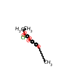 CCCCCCCCCCCCOc1ccc(-c2ccc(C(=O)Oc3ccc(C(=O)OCC(C)CC)c(Cl)c3)cc2)cc1